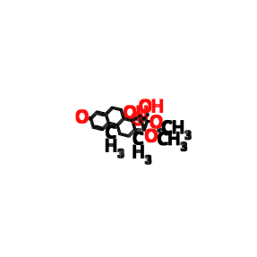 CC1(C)OC2CC3C4(O)CCC5=CC(=O)C=CC5(C)C4CCC3(C)C2(C(=O)CO)O1